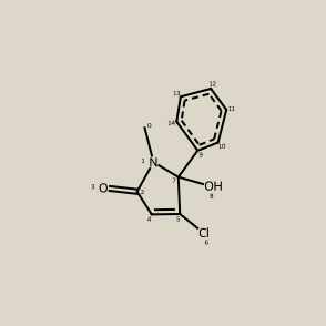 CN1C(=O)C=C(Cl)C1(O)c1ccccc1